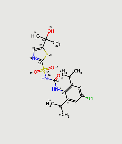 CC(C)c1cc(Cl)cc(C(C)C)c1NC(=O)NS(=O)(=O)c1ncc(C(C)(C)O)s1